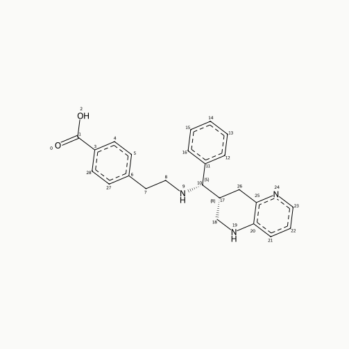 O=C(O)c1ccc(CCN[C@H](c2ccccc2)[C@H]2CNc3cccnc3C2)cc1